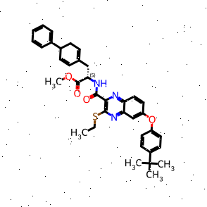 CCSc1nc2cc(Oc3ccc(C(C)(C)C)cc3)ccc2nc1C(=O)N[C@@H](CC1=CCC(c2ccccc2)C=C1)C(=O)OC